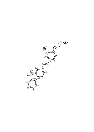 COCOc1ccc(C=Cc2ccc3c(c2)C(C)(C)c2ccccc2-3)cc1Br